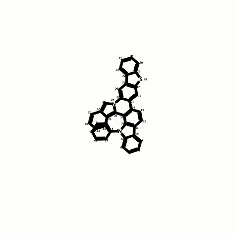 c1ccc(-n2c3ccccc3c3ccc4c5cc6sc7ccccc7c6cc5n5cc6ccccc6c5c4c32)cc1